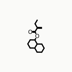 C=C(CC)C(=O)OC1CCCC2CCCCC21